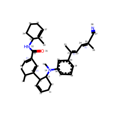 C/C=C(\C=C(/C(C)C)C1C=CCCC1N(C)c1cccc(/C(C)=C/C=C(\C)C#N)c1)C(=O)NC1CCCC=C1C